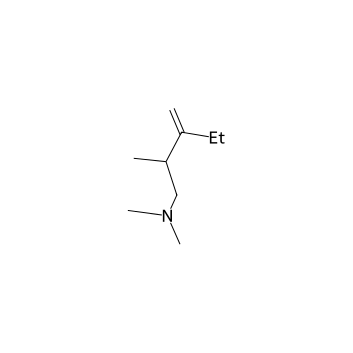 C=C(CC)C(C)CN(C)C